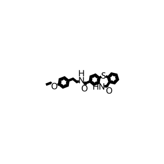 CCOc1ccc(CCNC(=O)c2ccc3c(c2)NC(=O)c2ccccc2S3)cc1